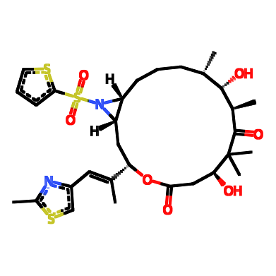 CC(=Cc1csc(C)n1)[C@@H]1C[C@H]2[C@@H](CCC[C@H](C)[C@H](O)[C@@H](C)C(=O)C(C)(C)[C@@H](O)CC(=O)O1)N2S(=O)(=O)c1cccs1